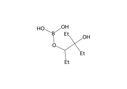 CCC(OB(O)O)C(O)(CC)CC